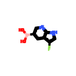 OB(O)c1cnc2[nH]cc(F)c2c1